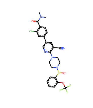 CN(C)C(=O)c1ccc(-c2cnc(N3CCN([S+]([O-])c4ccccc4OC(F)(F)F)CC3)c(C#N)c2)cc1Cl